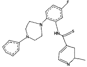 CC1CC(C(=S)Nc2cc(F)ccc2N2CCN(c3ccccc3)CC2)=CC=N1